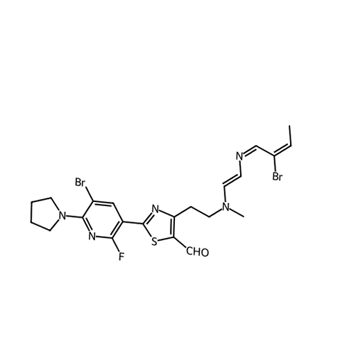 C\C=C(Br)/C=N\C=C\N(C)CCc1nc(-c2cc(Br)c(N3CCCC3)nc2F)sc1C=O